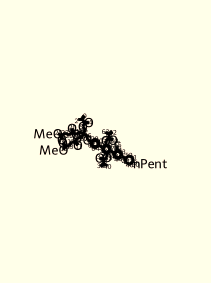 C=C(C)C(=O)OCC(COC(=O)CCC(=O)OC)(COC(=O)CCC(=O)OC)COc1ccc(-c2cc(OC(=O)C(=C)C)c(-c3ccc(C4CCC(CCCCC)CC4)cc3F)cc2OC(=O)C(=C)C)cc1